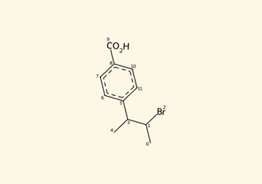 CC(Br)C(C)c1ccc(C(=O)O)cc1